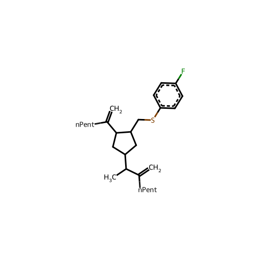 C=C(CCCCC)C(C)C1CC(CSc2ccc(F)cc2)C(C(=C)CCCCC)C1